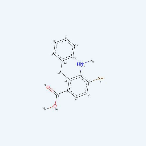 CNc1c(S)ccc(C(=O)OC)c1Cc1ccccc1